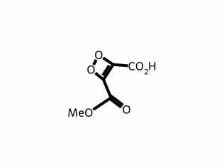 COC(=O)c1ooc1C(=O)O